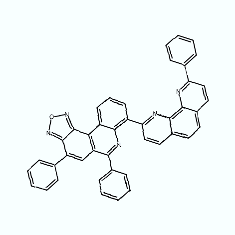 c1ccc(-c2ccc3ccc4ccc(-c5cccc6c5nc(-c5ccccc5)c5cc(-c7ccccc7)c7nonc7c56)nc4c3n2)cc1